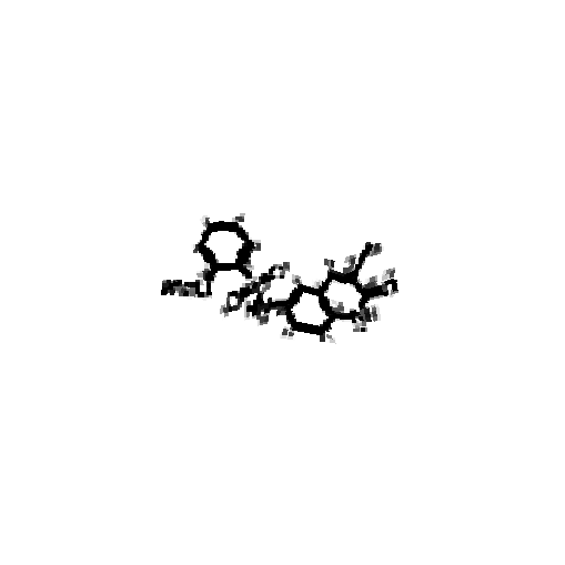 COc1ccccc1S(=O)(=O)Nc1ccc2c(c1)CC(C)C(=O)N2